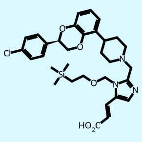 C[Si](C)(C)CCOCn1c(/C=C/C(=O)O)cnc1CN1CCC(c2cccc3c2OC[C@@H](c2ccc(Cl)cc2)O3)CC1